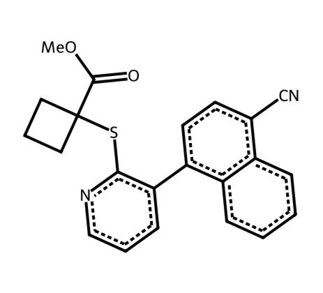 COC(=O)C1(Sc2ncccc2-c2ccc(C#N)c3ccccc23)CCC1